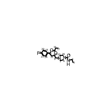 CCNC(=O)N1CCN(CCCC(OC(=O)CC)c2ccc(F)cc2)CC1